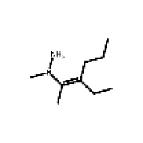 CCC/C(CC)=C(/C)N(C)N